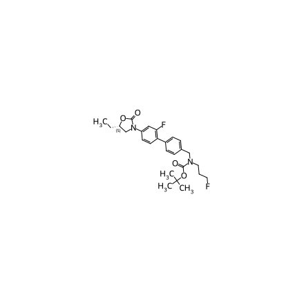 CC[C@H]1CN(c2ccc(-c3ccc(CN(CCCF)C(=O)OC(C)(C)C)cc3)c(F)c2)C(=O)O1